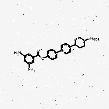 CCCCCCCC1CCC(c2ccc(-c3ccc(OC(=O)c4cc(N)cc(N)c4)cc3)cc2)CC1